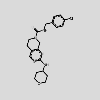 O=C(NCc1ccc(Cl)cc1)N1CCc2cnc(NC3CCOCC3)nc2C1